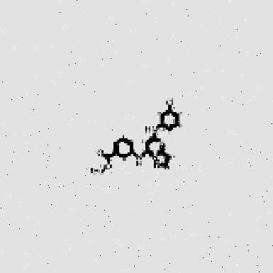 CC(C)(C)OC(=O)C1=CC=CC(Nc2cc(Nc3cccc(Cl)c3)nc3ccnn23)C1